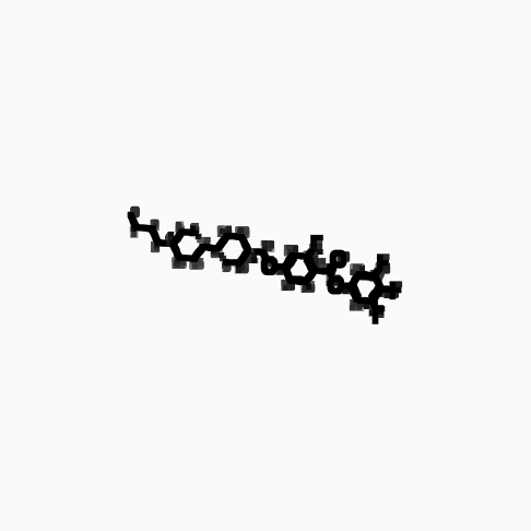 CCCC[C@H]1CC[C@H]([C@H]2CC[C@H](COc3ccc(C(=O)Oc4cc(F)c(F)c(F)c4)c(F)c3)CC2)CC1